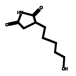 O=C1CC(CCCCCO)C(=O)N1